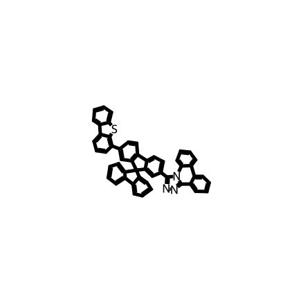 c1ccc2c(c1)-c1ccccc1C21c2cc(-c3cccc4c3sc3ccccc34)ccc2-c2ccc(-c3nnc4c5ccccc5c5ccccc5n34)cc21